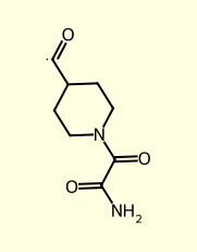 NC(=O)C(=O)N1CCC([C]=O)CC1